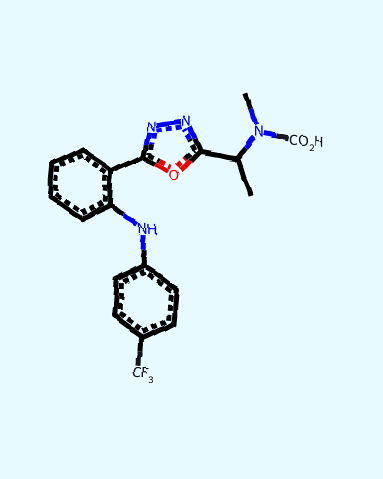 CC(c1nnc(-c2ccccc2Nc2ccc(C(F)(F)F)cc2)o1)N(C)C(=O)O